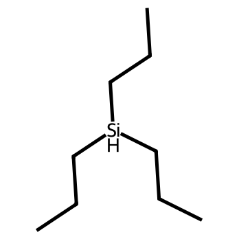 CCC[SiH](CCC)CCC